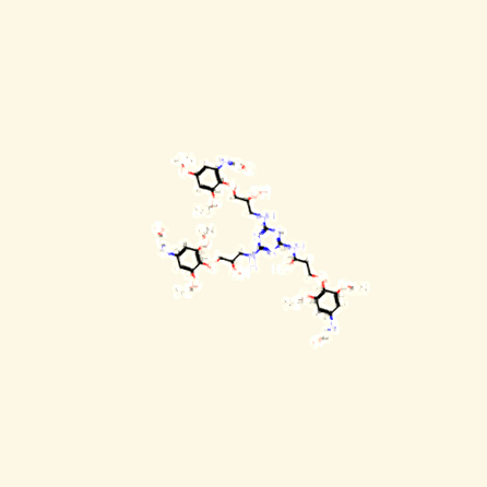 N#COc1cc(N=C=O)c(OCC(O)CNc2nc(NCC(O)COc3c(OC#N)cc(N=C=O)cc3OC#N)nc(NC(O)CCOc3c(OC#N)cc(N=C=O)cc3OC#N)n2)c(OC#N)c1